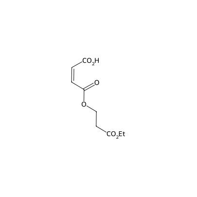 CCOC(=O)CCOC(=O)/C=C\C(=O)O